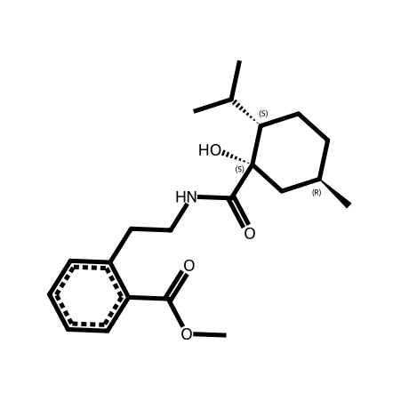 COC(=O)c1ccccc1CCNC(=O)[C@]1(O)C[C@H](C)CC[C@H]1C(C)C